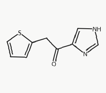 O=C(Cc1cccs1)c1c[nH]cn1